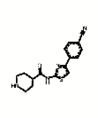 N#Cc1ccc(-c2csc(NC(=O)C3CCNCC3)n2)cc1